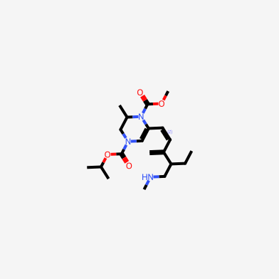 C=C(/C=C\C1=CN(C(=O)OC(C)C)CC(C)N1C(=O)OC)C(CC)CNC